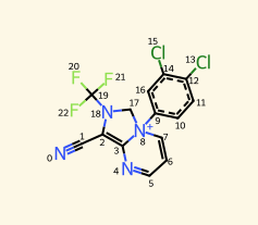 N#CC1=C2N=CC=C[N+]2(c2ccc(Cl)c(Cl)c2)CN1C(F)(F)F